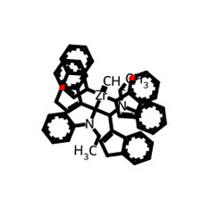 [CH2]=[Zr]([CH]1C=Cc2ccccc21)([CH]1C=Cc2ccccc21)[C](C1=CCc2ccccc21)(C(C1=CCc2ccccc21)N(CC)c1ccccc1)N(CC)c1ccccc1